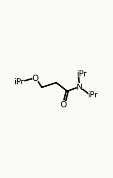 CC(C)OCCC(=O)N(C(C)C)C(C)C